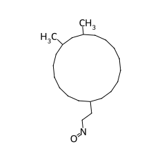 CC1CCCCCCCCC(CCN=O)CCCCCCC(C)C1